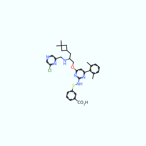 Cc1cccc(C)c1-c1cc(OCC(CC2CC(C)(C)C2)NCc2cncc(Cl)n2)nc(NSc2cccc(C(=O)O)c2)n1